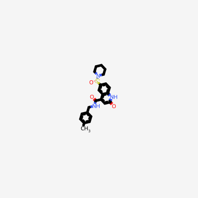 Cc1ccc(CNC(=O)c2cc(=O)[nH]c3ccc([S+]([O-])N4CCCCC4)cc23)cc1